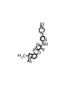 CCN1CCN(c2ccc(Nc3ncnc(Oc4ccc5c(cc(C)n5C(C)=O)c4F)c3F)nc2)CC1